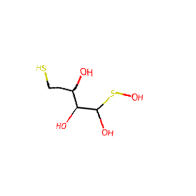 OSC(O)C(O)C(O)CS